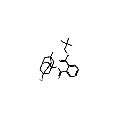 CC(F)(F)COC(=O)c1ccccc1C(=O)OC12CC3CC(O)(CC(I)(C3)C1)C2